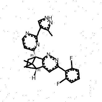 Cc1n[nH]cc1-c1nccc([C@]23CC[C@@H](c4cc(-c5c(F)cccc5F)nnc42)C3(C)C)n1